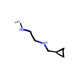 CCCNCCNCC1CC1